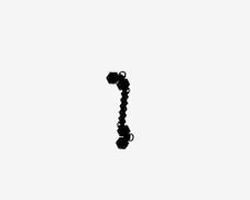 O=C(c1ccccc1)c1ccc(OCCCCCCCCCCOc2ccc(C(=O)c3ccccc3)cc2)cc1